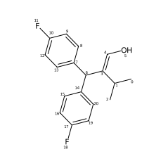 CC(C)C(=CO)C(c1ccc(F)cc1)c1ccc(F)cc1